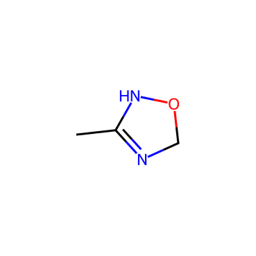 CC1=NCON1